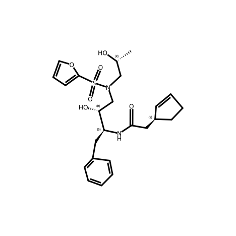 C[C@@H](O)CN(C[C@@H](O)[C@H](Cc1ccccc1)NC(=O)C[C@H]1C=CCC1)S(=O)(=O)c1ccco1